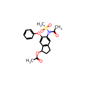 CC(=O)OC1CCc2cc(N(C(C)=O)S(C)(=O)=O)c(Oc3ccccc3)cc21